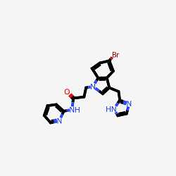 O=C(CCn1cc(Cc2ncc[nH]2)c2cc(Br)ccc21)Nc1ccccn1